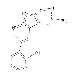 Nc1cc2c(cn1)[nH]c1ncc(-c3ccccc3O)cc12